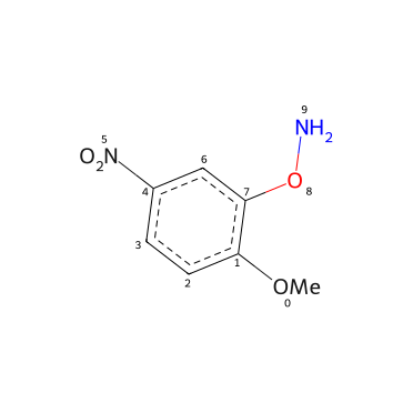 COc1ccc([N+](=O)[O-])cc1ON